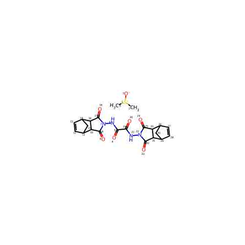 C[S+](C)[O-].O=C(NN1C(=O)C2C3C=CC(C3)C2C1=O)C(=O)NN1C(=O)C2C3C=CC(C3)C2C1=O